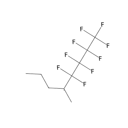 CCC[C](C)C(F)(F)C(F)(F)C(F)(F)C(F)(F)F